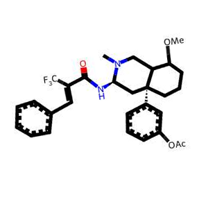 COC1CCC[C@@]2(c3cccc(OC(C)=O)c3)C[C@@H](NC(=O)C(=Cc3ccccc3)C(F)(F)F)N(C)CC12